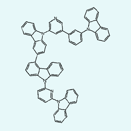 c1cc(-c2cncc(-n3c4ccccc4c4cc(-c5cccc6c5c5ccccc5n6-c5cccc(-n6c7ccccc7c7ccccc76)n5)ccc43)c2)cc(-n2c3ccccc3c3ccccc32)c1